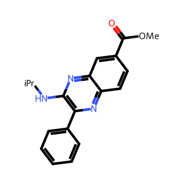 COC(=O)c1ccc2nc(-c3ccccc3)c(NC(C)C)nc2c1